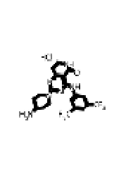 Cl.NC1CCN(c2nc(Nc3cc(C(F)(F)F)cc(C(F)(F)F)c3)c3c(=O)[nH]ccc3n2)CC1